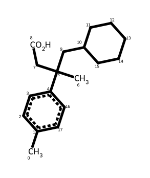 Cc1ccc(C(C)(CC(=O)O)CC2CCCCC2)cc1